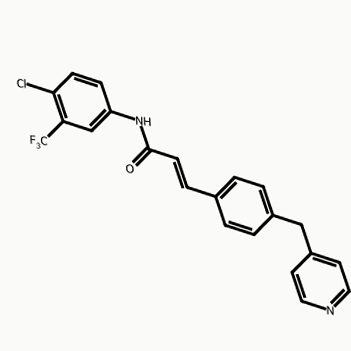 O=C(C=Cc1ccc(Cc2ccncc2)cc1)Nc1ccc(Cl)c(C(F)(F)F)c1